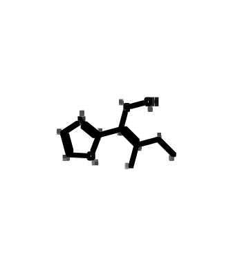 CC/C(C)=C(\SO)c1ncco1